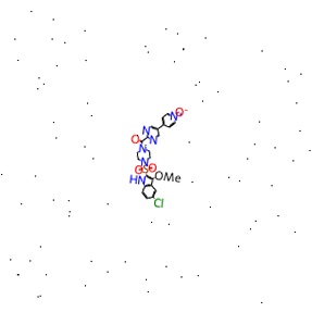 COc1c(S(=O)(=O)N2CCN(C(=O)c3ncc(-c4cc[n+]([O-])cc4)cn3)CC2)[nH]c2ccc(Cl)cc12